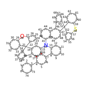 c1ccc(-c2ccc(-c3ccccc3N(c3ccc4c(c3)C3(c5ccccc5Oc5ccccc53)c3ccccc3-4)c3cccc4c5c(ccc34)C3(c4ccccc4Sc4ccccc43)c3ccccc3-5)cc2)cc1